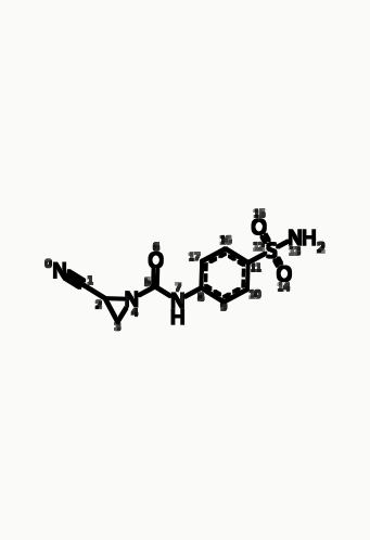 N#CC1CN1C(=O)Nc1ccc(S(N)(=O)=O)cc1